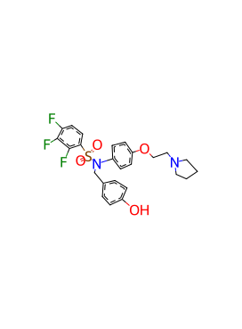 O=S(=O)(c1ccc(F)c(F)c1F)N(Cc1ccc(O)cc1)c1ccc(OCCN2CCCC2)cc1